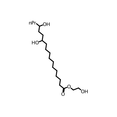 CCCC(O)CCC(O)CCCCCCCCCCC(=O)OCCO